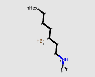 Br.CCCCCCCCCCCCNCCC